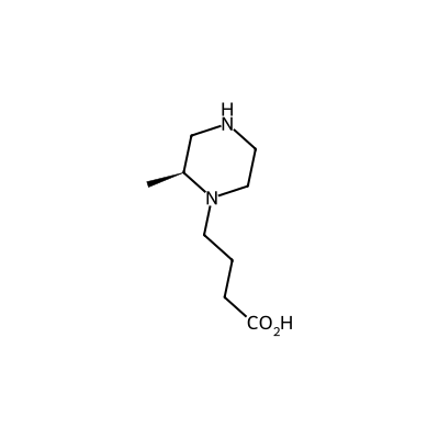 C[C@H]1CNCCN1CCCC(=O)O